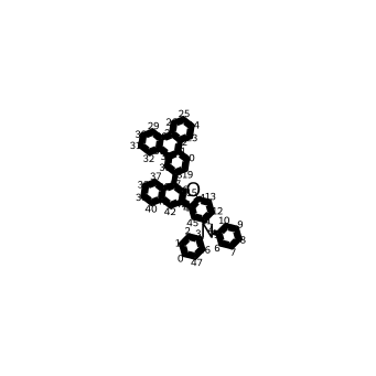 c1ccc(N(c2ccccc2)c2ccc3oc4c(-c5ccc6c7ccccc7c7ccccc7c6c5)c5ccccc5cc4c3c2)cc1